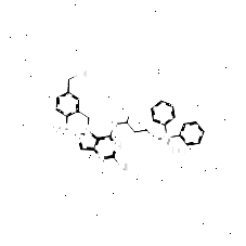 CCCC(CCO[Si](c1ccccc1)(c1ccccc1)C(C)(C)C)Nc1nc(N)nc2cnn(Cc3cc(CO)ccc3OC)c12